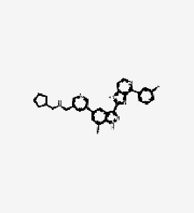 Fc1cccc(-c2nccc3[nH]c(-c4n[nH]c5c(F)cc(-c6cncc(CNCC7CCCC7)c6)cc45)nc23)c1